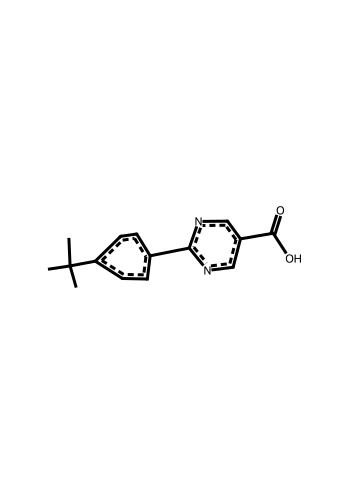 CC(C)(C)c1ccc(-c2ncc(C(=O)O)cn2)cc1